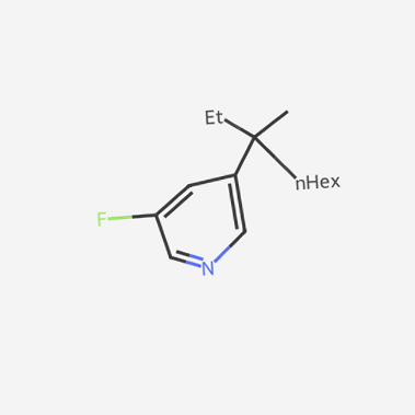 CCCCCCC(C)(CC)c1cncc(F)c1